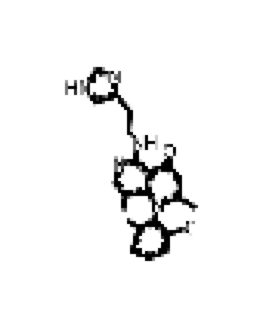 Cc1cccc(Cl)c1-n1c(C)cc(=O)c2c(NCCc3c[nH]cn3)ncc(C)c21